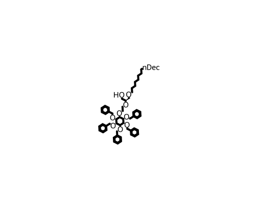 CCCCCCCCCCCCCCCCCCOC[C@H](CO)OCCO[C@@H]1[C@@H](OCc2ccccc2)[C@H](OCc2ccccc2)[C@@H](OCc2ccccc2)[C@H](OCc2ccccc2)[C@@H]1OCc1ccccc1